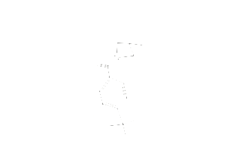 Cc1cc(C(=O)N2CC(F)(F)C2)ccc1C(C)(C)C